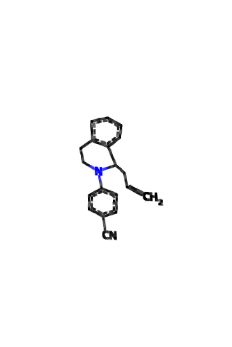 C=CCC1c2ccccc2CCN1c1ccc(C#N)cc1